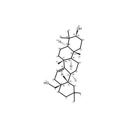 CC1(C)CC[C@]2(CO)CC=C3[C@]4(C)CC[C@H]5C(C)(C)[C@@H](O)CC[C@]5(C)[C@H]4CC[C@@]3(C)[C@@H]2C1